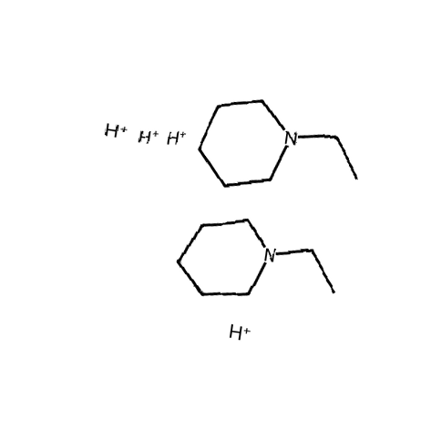 CCN1CCCCC1.CCN1CCCCC1.[H+].[H+].[H+].[H+]